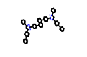 c1ccc(-c2ccc(-c3cc(-c4ccccc4)nc(-c4ccc(-c5cccc6c(-c7ccc(-c8nc(-c9ccccc9)cc(-c9ccc(-c%10ccccc%10)cc9)n8)cc7)cccc56)cc4)n3)cc2)cc1